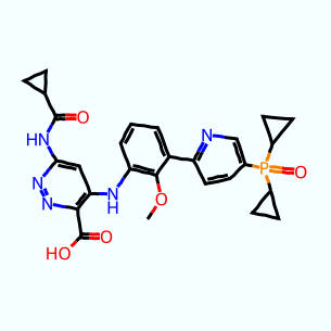 COc1c(Nc2cc(NC(=O)C3CC3)nnc2C(=O)O)cccc1-c1ccc(P(=O)(C2CC2)C2CC2)cn1